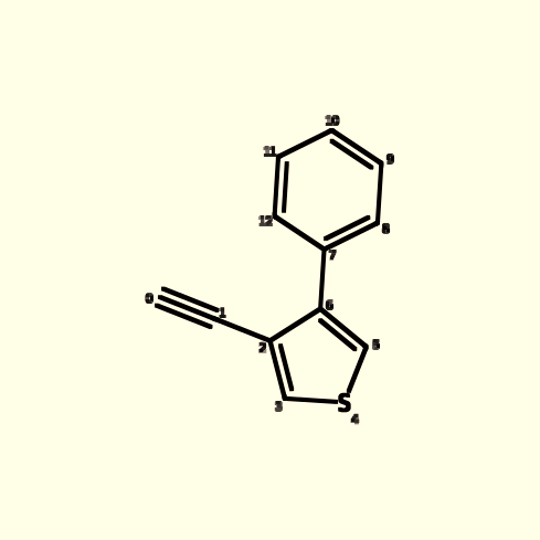 C#Cc1cscc1-c1ccccc1